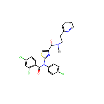 CCN(CCc1ccccn1)C(=O)c1csc(N(C(=O)c2ccc(Cl)cc2Cl)c2ccc(Cl)cc2)n1